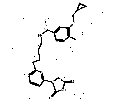 C[C@@H](NCCCCc1nccc(N2CC(=S)NC2=O)n1)c1ccc(F)c(OCC2CC2)c1